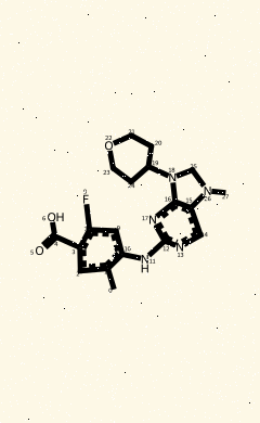 Cc1cc(C(=O)O)c(F)cc1Nc1ncc2c(n1)N(C1CCOCC1)CN2C